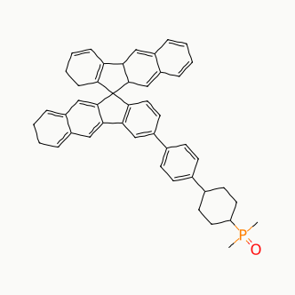 CP(C)(=O)C1CCC(c2ccc(-c3ccc4c(c3)-c3cc5c(cc3C43C4=C(C=CCC4)C4C=c6ccccc6=CC43)=CCCC=5)cc2)CC1